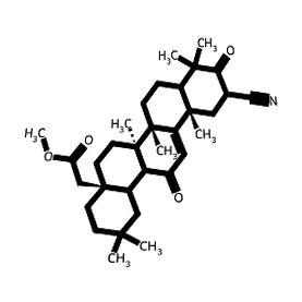 COC(=O)C[C@]12CCC(C)(C)CC1C1C(=O)C=C3[C@@]4(C)CC(C#N)C(=O)C(C)(C)C4CC[C@@]3(C)[C@]1(C)CC2